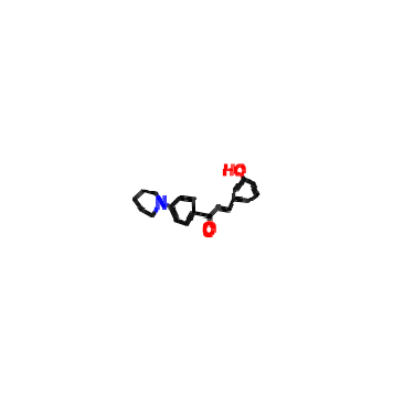 O=C(C=Cc1cccc(O)c1)c1ccc(N2CCCCC2)cc1